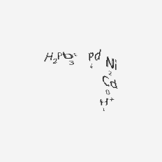 [Cd].[H+].[Ni].[PbH2].[Pd]